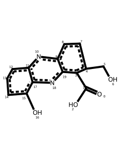 O=C(O)c1c(CO)ccc2nc3cccc(O)c3nc12